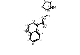 O=C(NC[C@@H]1CCCN1)c1ccnc2ccccc12